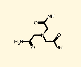 [NH]C(=O)CN(CC([NH])=O)CC(N)=O